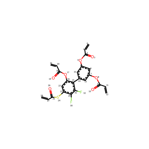 C=CC(=O)Oc1cc(OC(=O)C=C)cc(-c2c(OC(=O)C=C)cc(SC(=O)C=C)c(F)c2F)c1